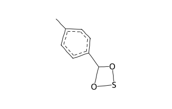 Cc1ccc(C2OSO2)cc1